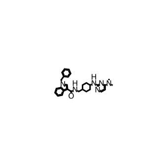 CN(C)c1ccnc(NC2CCC(CNC(=O)c3cn(Cc4ccccc4)c4ccccc34)CC2)n1